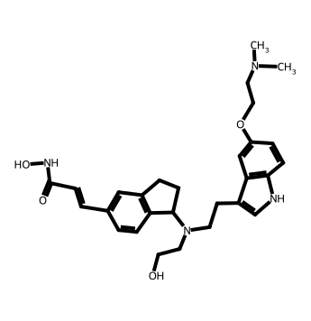 CN(C)CCOc1ccc2[nH]cc(CCN(CCO)C3CCc4cc(C=CC(=O)NO)ccc43)c2c1